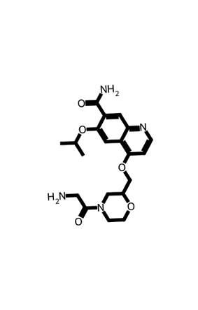 CC(C)Oc1cc2c(OCC3CN(C(=O)CN)CCO3)ccnc2cc1C(N)=O